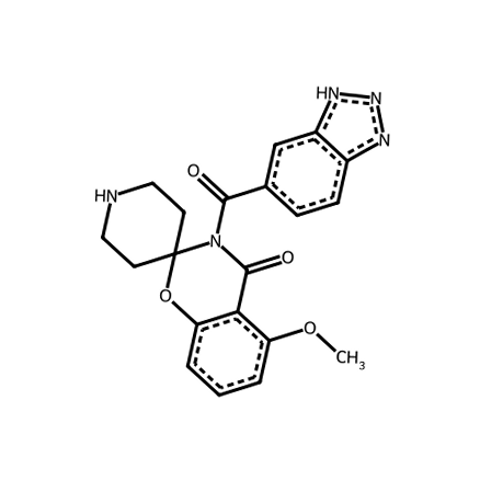 COc1cccc2c1C(=O)N(C(=O)c1ccc3nn[nH]c3c1)C1(CCNCC1)O2